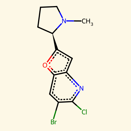 CN1CCC[C@@H]1c1cc2nc(Cl)c(Br)cc2o1